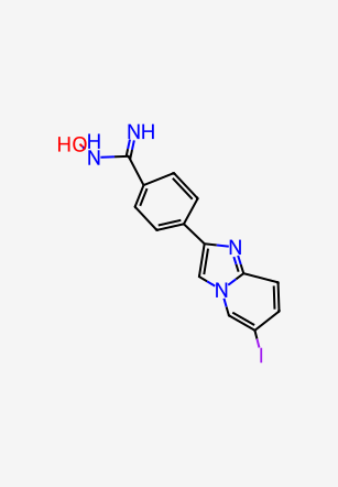 N=C(NO)c1ccc(-c2cn3cc(I)ccc3n2)cc1